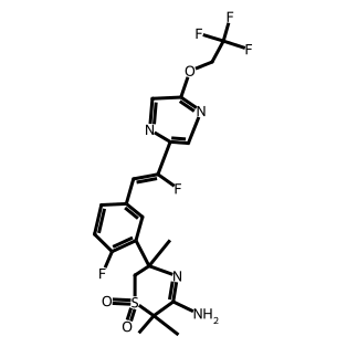 CC1(c2cc(C=C(F)c3cnc(OCC(F)(F)F)cn3)ccc2F)CS(=O)(=O)C(C)(C)C(N)=N1